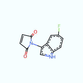 O=C1C=CC(=O)N1c1c[nH]c2ccc(F)cc12